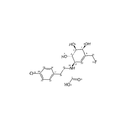 O=CO.O[C@@H]1[C@@H](O)[C@@H](O)C(CF)=C[C@H]1NCCc1ccc(Cl)cc1